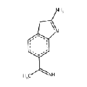 CC(=N)c1ccc2c(c1)N=C(N)C2